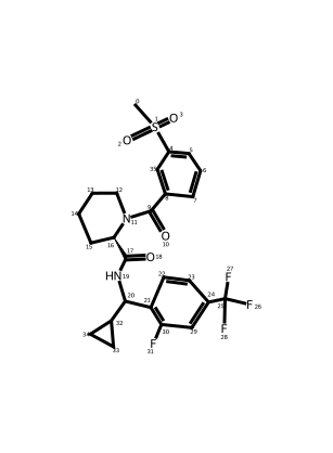 CS(=O)(=O)c1cccc(C(=O)N2CCCC[C@@H]2C(=O)NC(c2ccc(C(F)(F)F)cc2F)C2CC2)c1